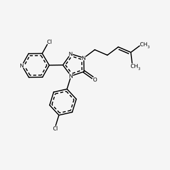 CC(C)=CCCn1nc(-c2ccncc2Cl)n(-c2ccc(Cl)cc2)c1=O